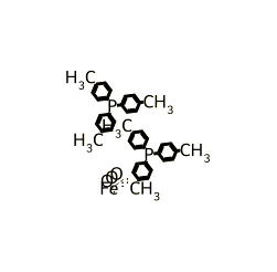 Cc1ccc(P(c2ccc(C)cc2)c2ccc(C)cc2)cc1.Cc1ccc(P(c2ccc(C)cc2)c2ccc(C)cc2)cc1.[C]=O.[C]=O.[C]=O.[Fe]